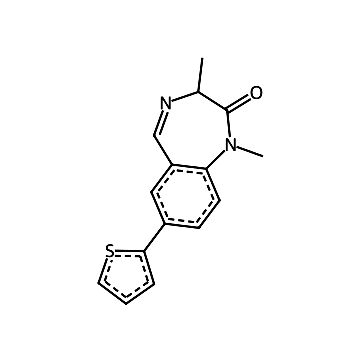 CC1N=Cc2cc(-c3cccs3)ccc2N(C)C1=O